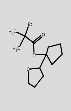 CCC(C)(C)C(=O)OC1(C2CCCO2)CCCC1